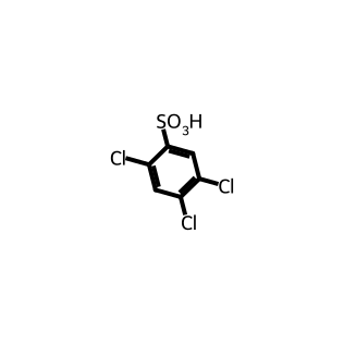 O=S(=O)(O)c1cc(Cl)c(Cl)cc1Cl